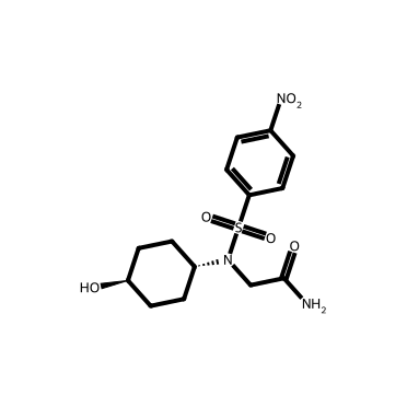 NC(=O)CN([C@H]1CC[C@H](O)CC1)S(=O)(=O)c1ccc([N+](=O)[O-])cc1